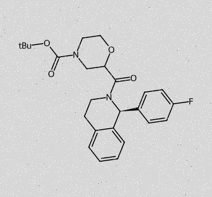 CC(C)(C)OC(=O)N1CCOC(C(=O)N2CCc3ccccc3[C@@H]2c2ccc(F)cc2)C1